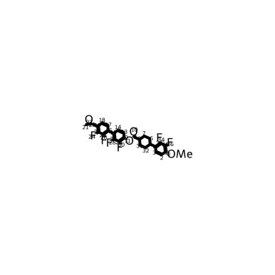 COc1ccc(C2CCC(C(=O)Oc3ccc(-c4ccc(C5CO5)c(F)c4F)c(F)c3F)CC2)c(F)c1F